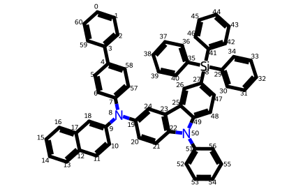 c1ccc(-c2ccc(N(c3ccc4ccccc4c3)c3ccc4c(c3)c3cc([Si](c5ccccc5)(c5ccccc5)c5ccccc5)ccc3n4-c3ccccc3)cc2)cc1